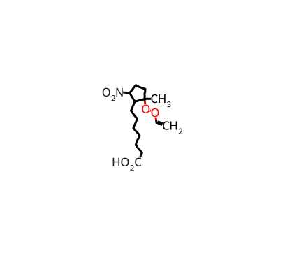 C=COOC1(C)CCC([N+](=O)[O-])C1CCCCCCC(=O)O